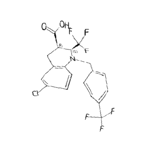 O=C(O)[C@@H]1Cc2cc(Cl)ccc2N(Cc2ccc(C(F)(F)F)cc2)[C@@H]1C(F)(F)F